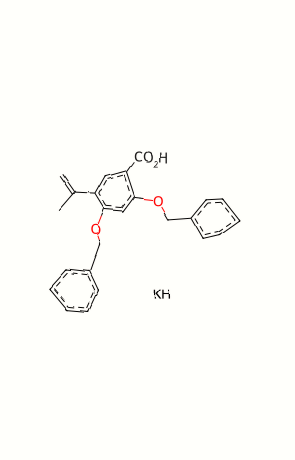 C=C(C)c1cc(C(=O)O)c(OCc2ccccc2)cc1OCc1ccccc1.[KH]